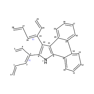 C=C/C=C(\C=C)c1[nH]c2c3ccccc3c3ccccc3c2c1/C(C=C)=C/C=C